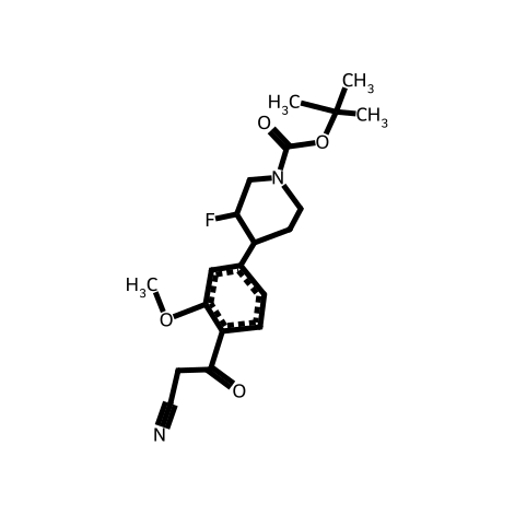 COc1cc(C2CCN(C(=O)OC(C)(C)C)CC2F)ccc1C(=O)CC#N